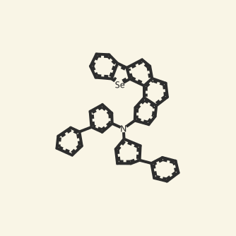 c1ccc(-c2cccc(N(c3cccc(-c4ccccc4)c3)c3ccc4ccc5ccc6c7ccccc7[se]c6c5c4c3)c2)cc1